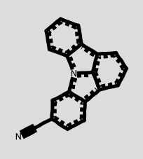 N#Cc1ccc2c3cccc4c5ccccc5n(c2c1)c43